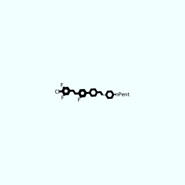 CCCCC[C@H]1CC[C@H](CCC2CCC(c3ccc(CCc4cc(F)c(Cl)c(F)c4)c(F)c3)CC2)CC1